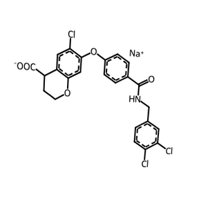 O=C(NCc1ccc(Cl)c(Cl)c1)c1ccc(Oc2cc3c(cc2Cl)C(C(=O)[O-])CCO3)cc1.[Na+]